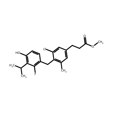 COC(=O)CCc1cc(C)c(Cc2ccc(O)c(C(C)C)c2F)c(Cl)c1